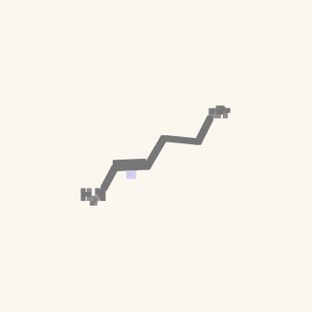 CCCCC/C=C/N